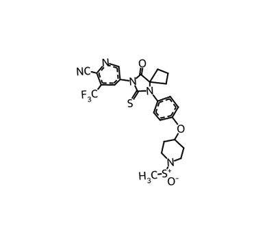 C[S+]([O-])N1CCC(Oc2ccc(N3C(=S)N(c4cnc(C#N)c(C(F)(F)F)c4)C(=O)C34CCC4)cc2)CC1